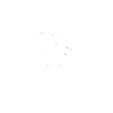 CC1(C)S[C@H]2N(C(=O)[C@]23O[C@@H]3N(C=O)c2ccccc2)[C@H]1C(=O)O